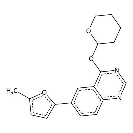 Cc1ccc(-c2ccc3ncnc(OC4CCCCO4)c3c2)o1